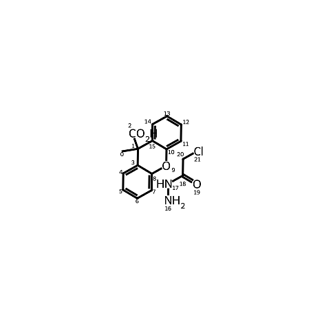 CC1(C(=O)O)c2ccccc2Oc2ccccc21.NNC(=O)CCl